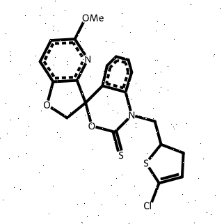 COc1ccc2c(n1)C1(CO2)OC(=S)N(CC2CC=C(Cl)S2)c2ccccc21